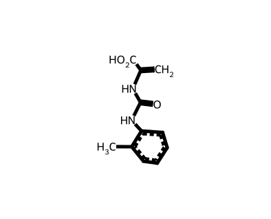 C=C(NC(=O)Nc1ccccc1C)C(=O)O